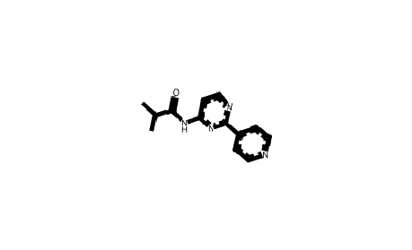 CC(C)C(=O)Nc1ccnc(-c2ccncc2)n1